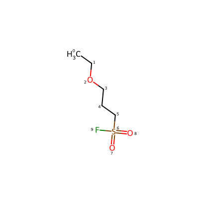 CCOCCCS(=O)(=O)F